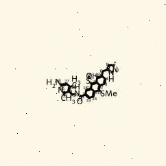 CSc1c2ccc(Cc3ccn[nH]3)cc2c(SO)c2cc(C(=O)NCc3c(C)cc(N)nc3C)ccc12